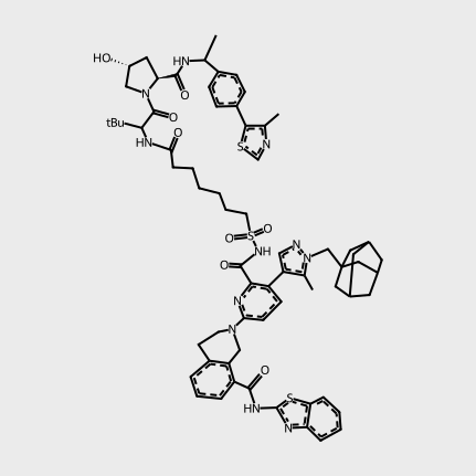 Cc1ncsc1-c1ccc(C(C)NC(=O)[C@@H]2C[C@@H](O)CN2C(=O)C(NC(=O)CCCCCCS(=O)(=O)NC(=O)c2nc(N3CCc4cccc(C(=O)Nc5nc6ccccc6s5)c4C3)ccc2-c2cnn(CC34CC5CC(CC(C5)C3)C4)c2C)C(C)(C)C)cc1